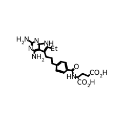 CCc1[nH]c2nc(N)nc(N)c2c1CCCc1ccc(C(=O)N[C@@H](CCC(=O)O)C(=O)O)cc1